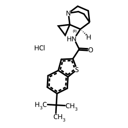 CC(C)(C)c1ccc2cc(C(=O)N[C@@H]3C4CCN(CC4)C34CC4)sc2c1.Cl